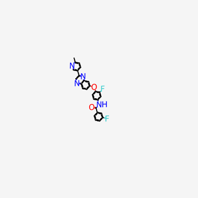 Cc1ccc(-c2cnc3ccc(Oc4ccc(NC(=O)c5cccc(F)c5)cc4F)cc3n2)cn1